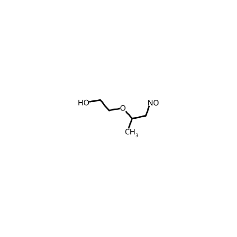 CC(CN=O)OCCO